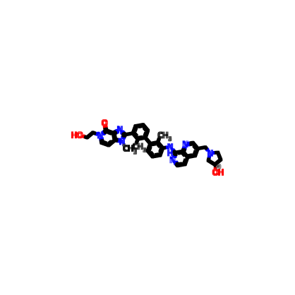 Cc1c(Nc2nccc3cc(CN4CC[C@@H](O)C4)cnc23)cccc1-c1cccc(-c2nc3c(=O)n(CCO)ccc3n2C)c1C